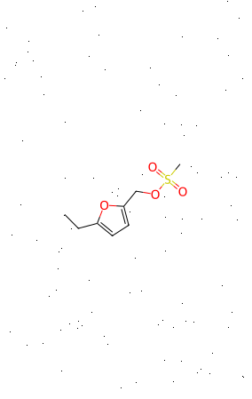 CCc1ccc(COS(C)(=O)=O)o1